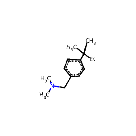 CCC(C)(C)c1ccc(CN(C)C)cc1